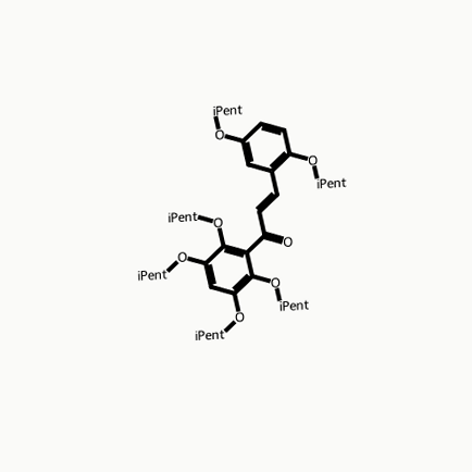 CCCC(C)Oc1ccc(OC(C)CCC)c(C=CC(=O)c2c(OC(C)CCC)c(OC(C)CCC)cc(OC(C)CCC)c2OC(C)CCC)c1